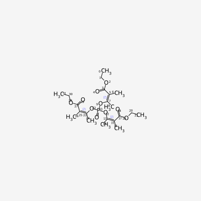 CCOC(=O)/C(C)=C(/C)OP(=O)(O/C(C)=C(/C)C(=O)OCC)O/C(C)=C(/C)C(=O)OCC